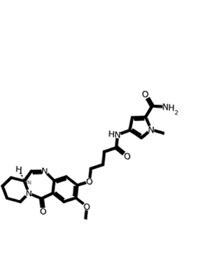 COc1cc2c(cc1OCCCC(=O)Nc1cc(C(N)=O)n(C)c1)N=C[C@@H]1CCCCN1C2=O